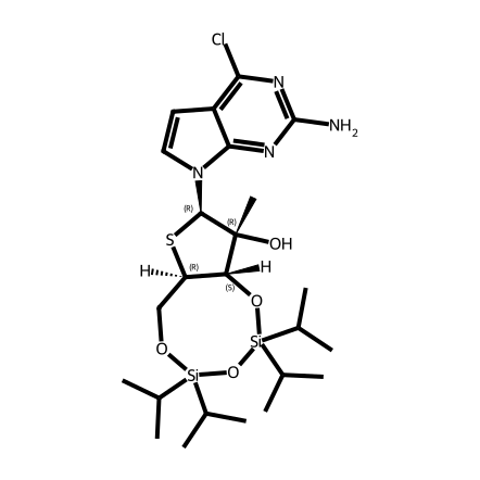 CC(C)[Si]1(C(C)C)OC[C@H]2S[C@@H](n3ccc4c(Cl)nc(N)nc43)[C@](C)(O)[C@@H]2O[Si](C(C)C)(C(C)C)O1